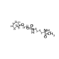 CC(=O)C(N)CCCCNC(=O)OCCOC1/C=C/CCCCC1